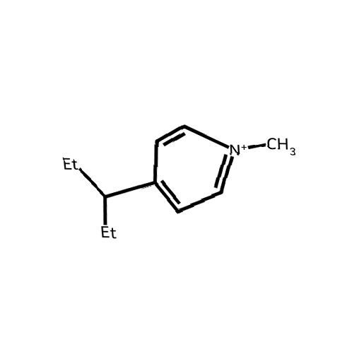 CCC(CC)c1cc[n+](C)cc1